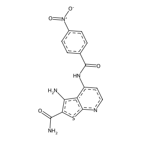 NC(=O)c1sc2nccc(NC(=O)c3ccc([N+](=O)[O-])cc3)c2c1N